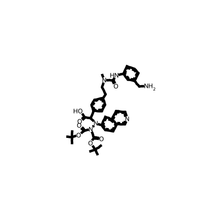 CN(CCc1ccc(C(C(=O)O)N(c2ccc3cnccc3c2)N(C(=O)OC(C)(C)C)C(=O)OC(C)(C)C)cc1)C(=O)Nc1cccc(CN)c1